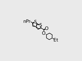 CCCc1cc2cc(C(=O)O[C@H]3CC[C@H](CC)CC3)sc2s1